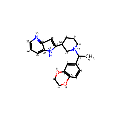 CC(c1ccc2c(c1)OCCO2)N1CCCC(c2cc3ncccc3[nH]2)C1